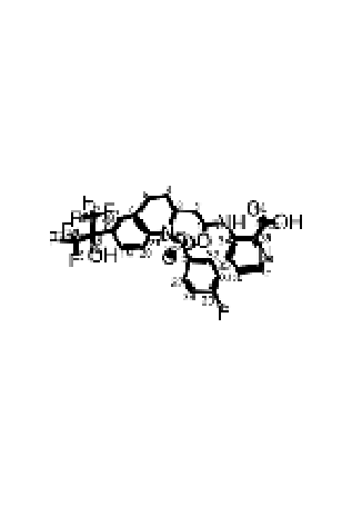 O=C(C[C@@H]1CCc2cc(C(O)(C(F)(F)F)C(F)(F)F)ccc2N1S(=O)(=O)c1ccc(F)cc1)Nc1cccnc1C(=O)O